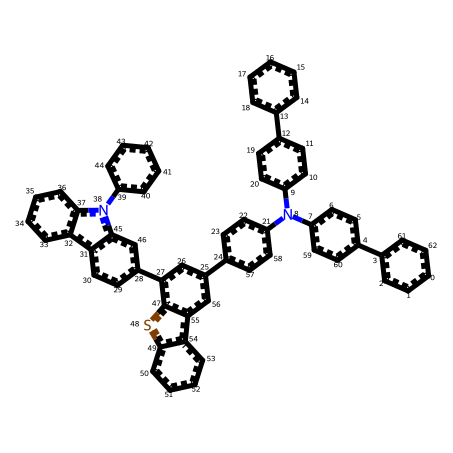 c1ccc(-c2ccc(N(c3ccc(-c4ccccc4)cc3)c3ccc(-c4cc(-c5ccc6c7ccccc7n(-c7ccccc7)c6c5)c5sc6ccccc6c5c4)cc3)cc2)cc1